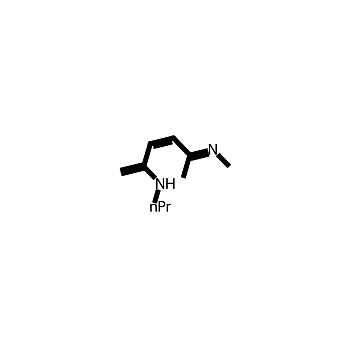 C=C(/C=C\C(C)=N\C)NCCC